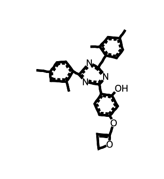 Cc1ccc(-c2nc(-c3ccc(C)cc3C)nc(-c3ccc(OC4=CCO4)cc3O)n2)c(C)c1